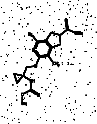 COC(=O)C1Cc2c(Br)nc(OCC3(NC(=O)OC(C)(C)C)CC3)c(C)c2C1